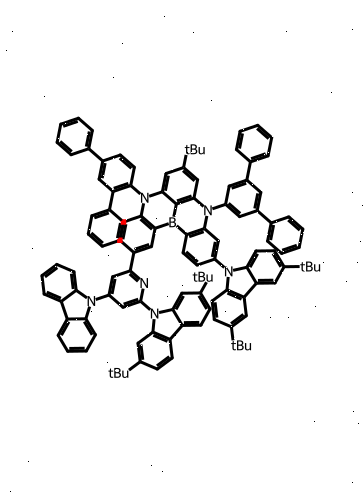 CC(C)(C)c1cc2c3c(c1)N(c1ccc(-c4ccccc4)cc1-c1ccccc1)c1ccc(-c4cc(-n5c6ccccc6c6ccccc65)cc(-n5c6cc(C(C)(C)C)ccc6c6ccc(C(C)(C)C)cc65)n4)cc1B3c1ccc(-n3c4ccc(C(C)(C)C)cc4c4cc(C(C)(C)C)ccc43)cc1N2c1cc(-c2ccccc2)cc(-c2ccccc2)c1